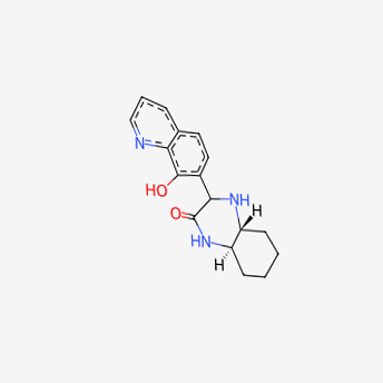 O=C1N[C@@H]2CCCC[C@H]2NC1c1ccc2cccnc2c1O